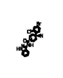 N#CC1(c2ccc(Br)cc2Cl)CCN(C(=O)Nc2n[nH]c3ccccc23)CC1